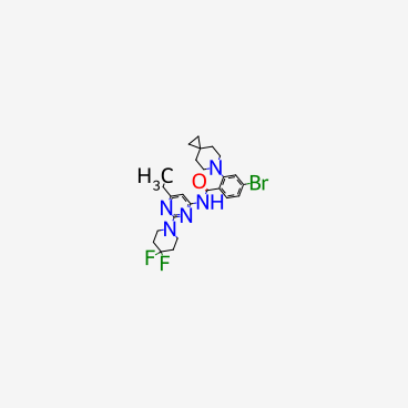 CCc1cc(NC(=O)c2ccc(Br)cc2N2CCC3(CC2)CC3)nc(N2CCC(F)(F)CC2)n1